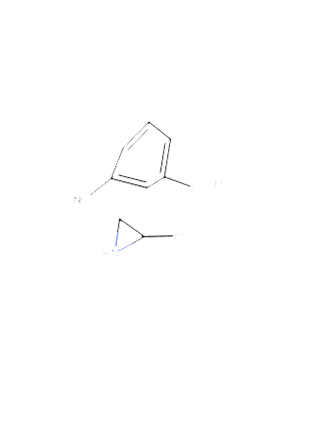 CCC1CN1.N#Cc1cccc(C(=O)O)c1